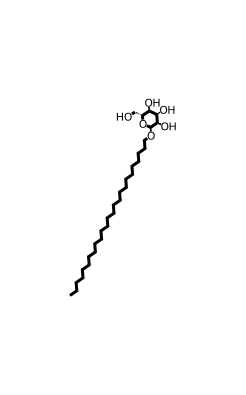 CCCCCCCCCCCCCCCCCCCCCCCCCO[C@H]1O[C@H](CO)[C@@H](O)[C@H](O)[C@H]1O